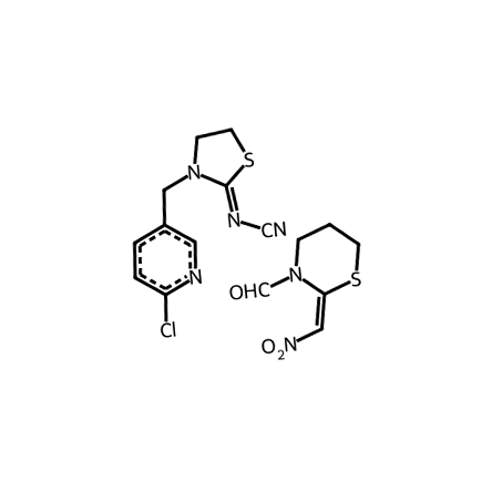 N#CN=C1SCCN1Cc1ccc(Cl)nc1.O=CN1CCCSC1=C[N+](=O)[O-]